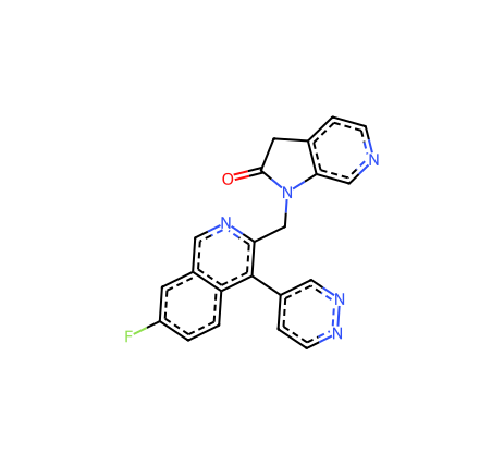 O=C1Cc2ccncc2N1Cc1ncc2cc(F)ccc2c1-c1ccnnc1